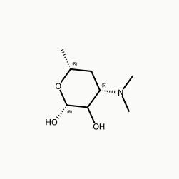 C[C@@H]1C[C@H](N(C)C)C(O)[C@H](O)O1